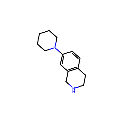 c1cc2c(cc1N1CCCCC1)CNCC2